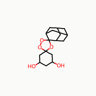 OC1CC(O)CC2(C1)OOC1(O2)C2CC3CC(C2)CC1C3